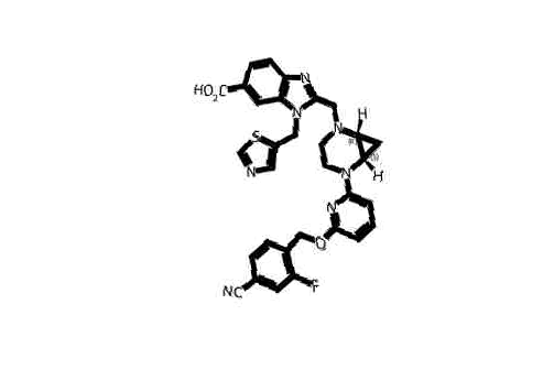 N#Cc1ccc(COc2cccc(N3CCN(Cc4nc5ccc(C(=O)O)cc5n4Cc4cncs4)[C@@H]4C[C@@H]43)n2)c(F)c1